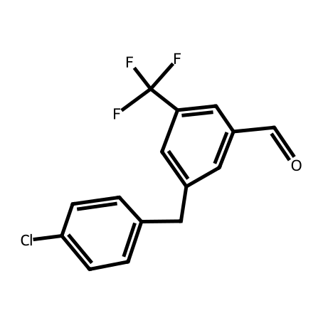 O=Cc1cc(Cc2ccc(Cl)cc2)cc(C(F)(F)F)c1